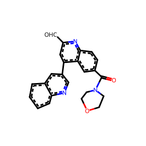 O=Cc1cc(-c2cnc3ccccc3c2)c2cc(C(=O)N3CCOCC3)ccc2n1